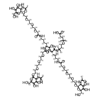 CC(=O)N[C@H]1[C@H](OCCOCCOCCOCC(=O)NCCCC[C@H](NC(=O)COCCOCCOCCO[C@@H]2O[C@H](CO)[C@H](O)[C@H](O)[C@H]2NC(C)=O)C(=O)N[C@@H](CCCCNC(=O)COCCOCCOCCOC2O[C@H](CO)[C@H](O)[C@H](O)[C@H]2NC(C)=O)C(=O)NC(C)(C)CCOC(C)(C)CCC(=O)O)O[C@H](CO)[C@H](O)[C@@H]1O